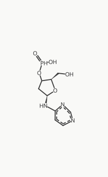 O=[PH](O)OC1C[C@H](Nc2ccncn2)O[C@@H]1CO